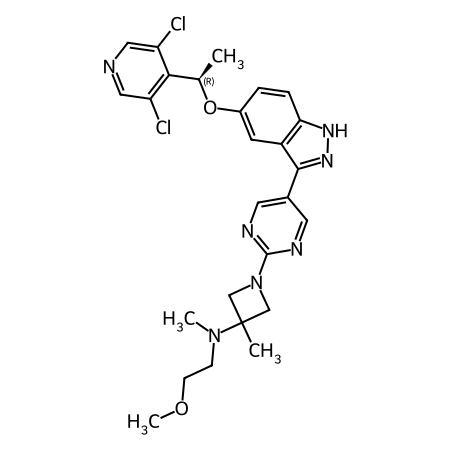 COCCN(C)C1(C)CN(c2ncc(-c3n[nH]c4ccc(O[C@H](C)c5c(Cl)cncc5Cl)cc34)cn2)C1